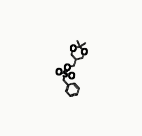 CC1(C)OCC(COS(=O)(=O)Cc2ccccc2)CO1